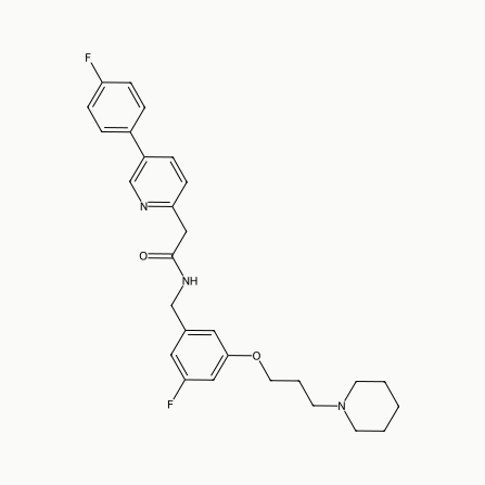 O=C(Cc1ccc(-c2ccc(F)cc2)cn1)NCc1cc(F)cc(OCCCN2CCCCC2)c1